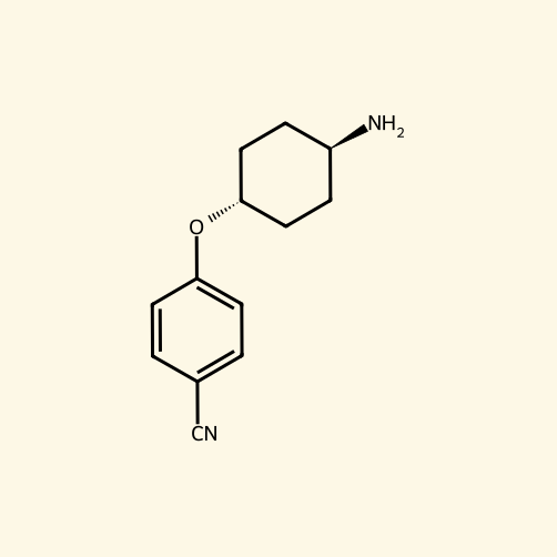 N#Cc1ccc(O[C@H]2CC[C@H](N)CC2)cc1